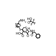 NCc1nnc(SC2=C(C(=O)O)N3C(=O)[C@@H](NC(=O)Cc4ccccc4)[C@@H]3SC2)s1.O=C(O)C(F)(F)F